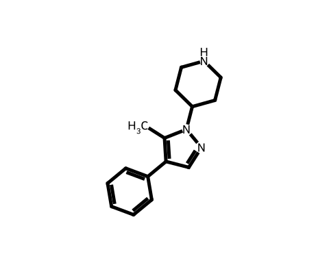 Cc1c(-c2ccccc2)cnn1C1CCNCC1